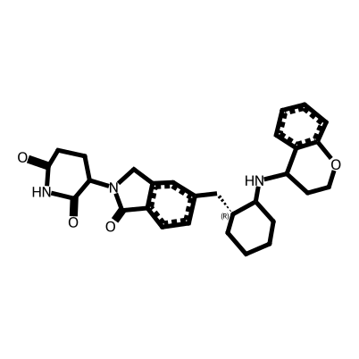 O=C1CCC(N2Cc3cc(C[C@H]4CCCCC4NC4CCOc5ccccc54)ccc3C2=O)C(=O)N1